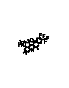 COCCC1(C)O[C@H](c2ccc(C(F)(F)F)c(F)c2)c2c(C(C)C)nc3c(c21)C(O)CC(C)(C)C3